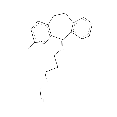 CCNCCC/N=C1/c2ccccc2CCc2ccc(Cl)cc21